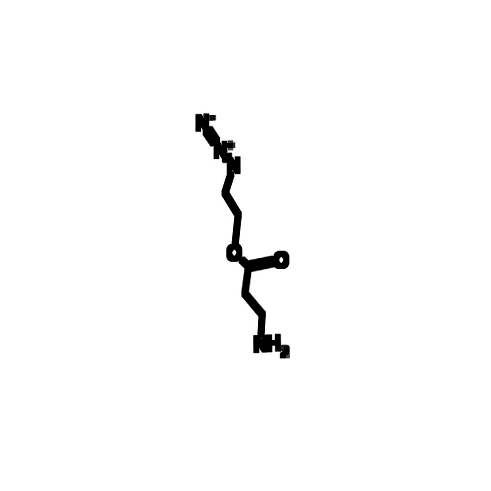 [N-]=[N+]=NCCOC(=O)CCN